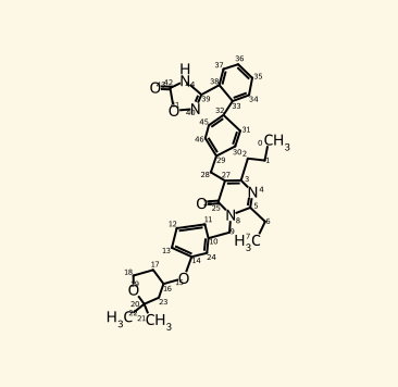 CCCc1nc(CC)n(Cc2cccc(OC3CCOC(C)(C)C3)c2)c(=O)c1Cc1ccc(-c2ccccc2-c2noc(=O)[nH]2)cc1